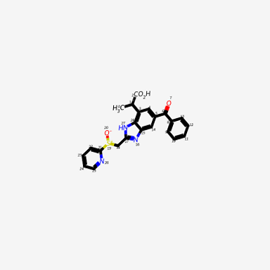 CC(C(=O)O)c1cc(C(=O)c2ccccc2)cc2nc(C[S+]([O-])c3ccccn3)[nH]c12